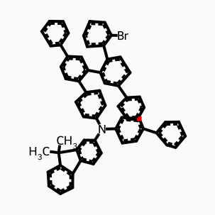 CC1(C)c2ccccc2-c2ccc(N(c3ccc(-c4ccccc4)cc3)c3ccc(-c4ccc(-c5ccccc5)cc4-c4cc(-c5ccccc5)ccc4-c4ccccc4Br)cc3)cc21